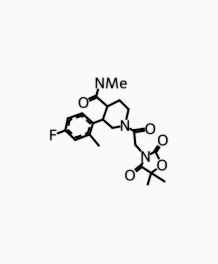 CNC(=O)C1CCN(C(=O)CN2C(=O)OC(C)(C)C2=O)CC1c1ccc(F)cc1C